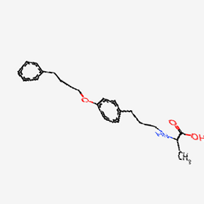 CC(NCCCc1ccc(OCCCc2ccccc2)cc1)C(=O)O